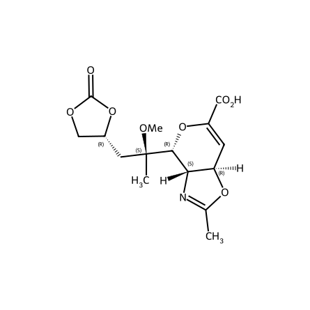 CO[C@@](C)(C[C@@H]1COC(=O)O1)[C@@H]1OC(C(=O)O)=C[C@H]2OC(C)=N[C@H]12